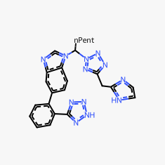 CCCCCC(n1nnc(Cc2ncc[nH]2)n1)n1cnc2cc(-c3ccccc3-c3nn[nH]n3)ccc21